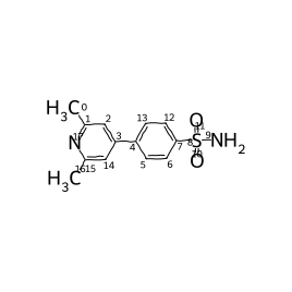 Cc1cc(-c2ccc(S(N)(=O)=O)cc2)cc(C)n1